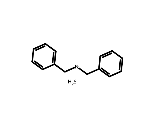 S.c1ccc(C[N]Cc2ccccc2)cc1